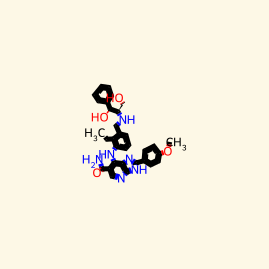 CCc1c(CN[C@@H](CO)[C@H](O)c2ccccc2)cccc1Nc1c(C(N)=O)cnc2[nH]c(-c3ccc(OC)cc3)nc12